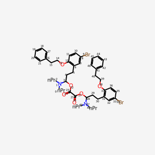 CCCN(CCC)C(CCc1cc(Br)ccc1OCCc1ccccc1)OC(=O)C(=O)OC(CCc1cc(Br)ccc1OCCc1ccccc1)N(CCC)CCC